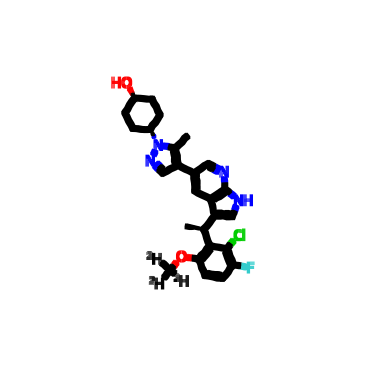 [2H]C([2H])([2H])Oc1ccc(F)c(Cl)c1[C@@H](C)c1c[nH]c2ncc(-c3cnn([C@H]4CC[C@H](O)CC4)c3C)cc12